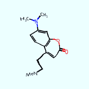 CNCCc1cc(=O)oc2cc(N(C)C)ccc12